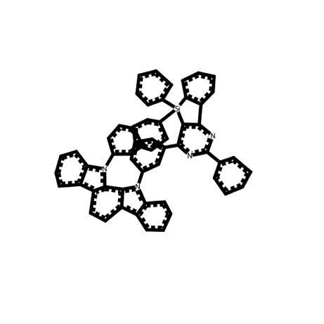 c1ccc(-c2nc(-c3cccc(-n4c5ccccc5c5ccc6c7ccccc7n(-c7ccccc7)c6c54)c3)c3c(n2)-c2ccccc2[Si]3(c2ccccc2)c2ccccc2)cc1